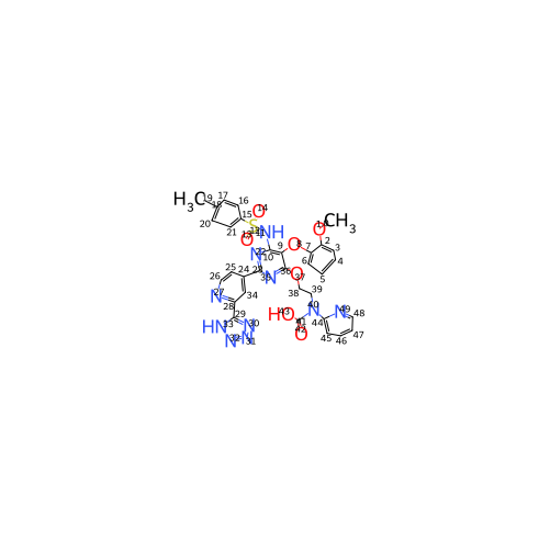 COc1ccccc1Oc1c(NS(=O)(=O)c2ccc(C)cc2)nc(-c2ccnc(-c3nnn[nH]3)c2)nc1OCCN(C(=O)O)c1ccccn1